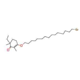 CCC1(C)CCC(OCCCCCCCCCCCCCCCBr)=C(C)C1=O